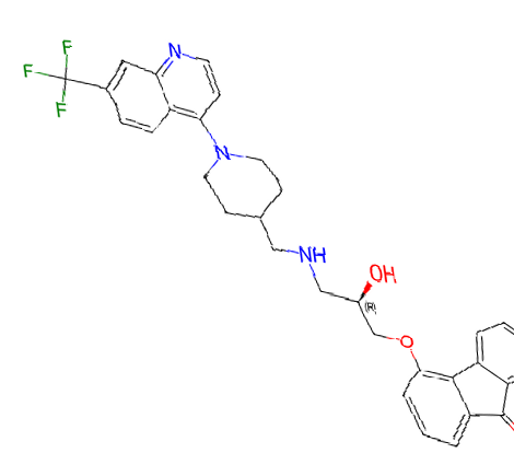 O=C1c2ccccc2-c2c(OC[C@H](O)CNCC3CCN(c4ccnc5cc(C(F)(F)F)ccc45)CC3)cccc21